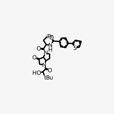 CC(C)CC(NC(=O)c1ccc(-c2cccs2)cc1)C(=O)N1CCC2C1C(=O)CN2C(=O)C(O)C(C)(C)C